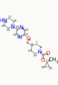 CC1(OC(=O)N2CCC(COc3cnc(N4CCNCC4)cn3)CC2)CC1